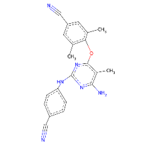 Cc1cc(C#N)cc(C)c1Oc1nc(Nc2ccc(C#N)cc2)nc(N)c1C